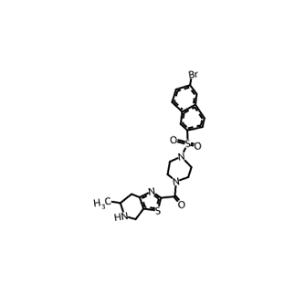 CC1Cc2nc(C(=O)N3CCN(S(=O)(=O)c4ccc5cc(Br)ccc5c4)CC3)sc2CN1